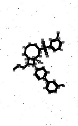 COC[C@@H]1[C@@H](c2ccc(-c3cccc(C)c3)cc2)[C@@H]2CN(S(=O)(=O)c3cccc(C)c3)CCCCN12